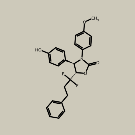 COc1ccc(N2C(=O)O[C@H](C(F)(F)CCc3ccccc3)[C@H]2c2ccc(O)cc2)cc1